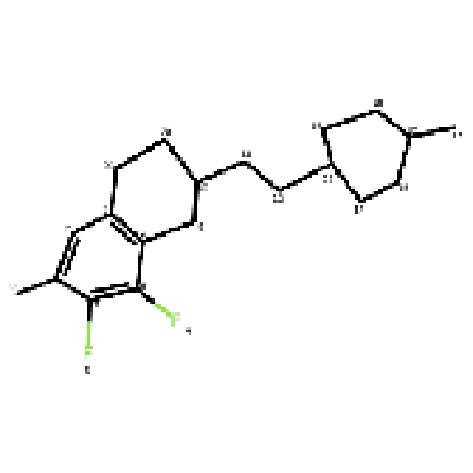 Cc1cc2c(c(F)c1F)CC(CCC1CCC(C)CC1)CC2